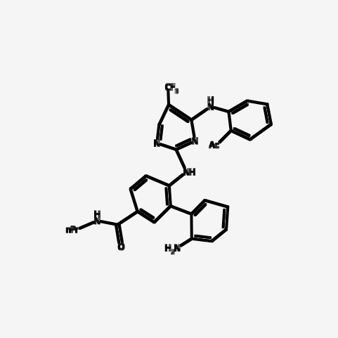 CCCNC(=O)c1ccc(Nc2ncc(C(F)(F)F)c(Nc3ccccc3C(C)=O)n2)c(-c2ccccc2N)c1